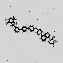 O=C1CCN(c2cncc3c(N4CCC(CN5CCN(c6ccc(-c7cc(-c8cc9c([nH]8)C8(CC8)CNC9=O)ccn7)cc6)CC5)CC4)cccc23)C(=O)N1